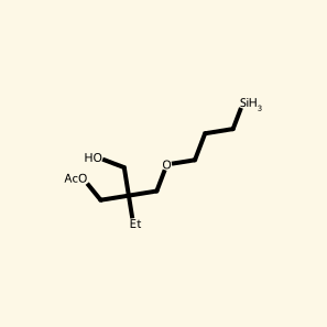 CCC(CO)(COCCC[SiH3])COC(C)=O